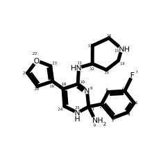 NC1(c2cccc(F)c2)N=C(NC2CCNCC2)C(c2ccoc2)=CN1